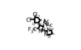 CC(=O)N(C(C)=O)c1c(-c2ccc(Cl)c(Cl)c2)c(C(F)(F)F)nn1-c1ncccn1